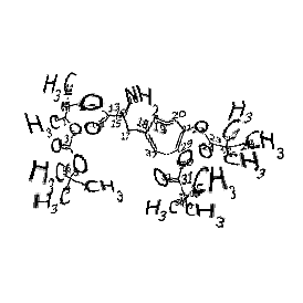 CC(OC(=O)OC(C)(C)C)[C@H](C)OC(=O)[C@@H](N)Cc1ccc(OC(=O)C(C)(C)C)c(OC(=O)C(C)(C)C)c1